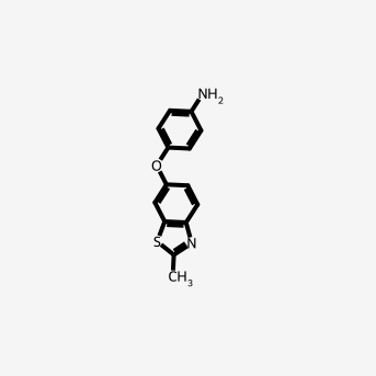 Cc1nc2ccc(Oc3ccc(N)cc3)cc2s1